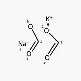 O=C[O-].O=C[O-].[K+].[Na+]